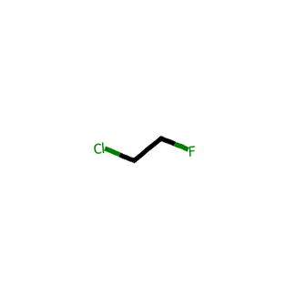 FCCCl